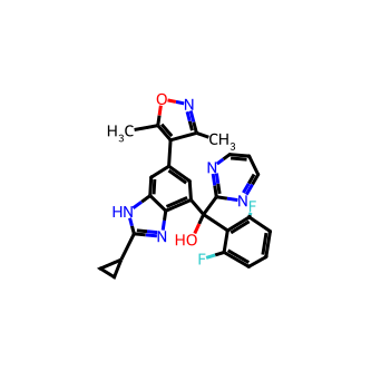 Cc1noc(C)c1-c1cc(C(O)(c2ncccn2)c2c(F)cccc2F)c2nc(C3CC3)[nH]c2c1